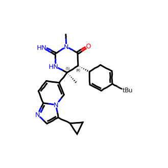 CN1C(=N)N[C@](C)(c2ccc3ncc(C4CC4)n3c2)[C@@H](C2C=CC(C(C)(C)C)=CC2)C1=O